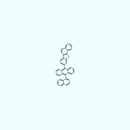 c1ccc2c(-c3c4ccccc4c(-c4ccc5c(c4)sc4c6ccccc6ccc54)c4ccccc34)cccc2c1